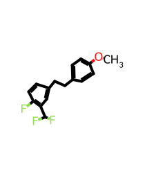 COc1ccc(CCc2ccc(F)c(C(F)F)c2)cc1